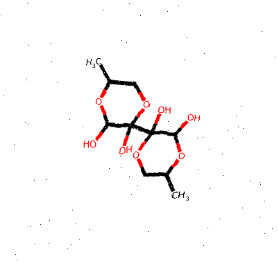 CC1COC(O)(C2(O)OCC(C)OC2O)C(O)O1